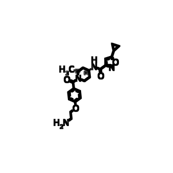 C[C@@H]1C[C@H](NC(=O)c2cc(C3CC3)on2)CCN1C(=O)c1ccc(OCCN)cc1